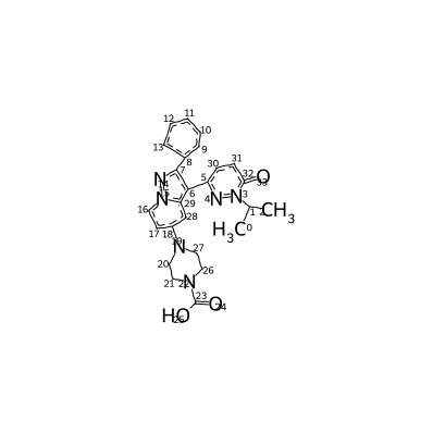 CC(C)n1nc(-c2c(-c3ccccc3)nn3ccc(N4CCN(C(=O)O)CC4)cc23)ccc1=O